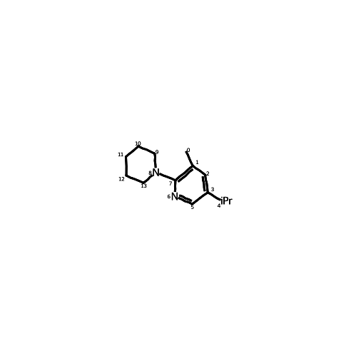 Cc1cc(C(C)C)cnc1N1CCCCC1